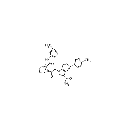 Cc1ccc(-c2ccc3c(c2)c(C(N)=O)cn3CC(=O)N2C3CCC(C3)[C@H]2C(=O)Nc2cccc(C)n2)cn1